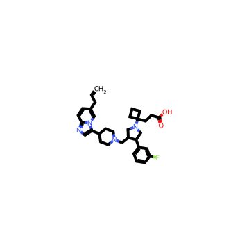 C=CCc1ccc2ncc(C3CCN(CC4CN(C5(CCC(=O)O)CCC5)CC4c4cccc(F)c4)CC3)n2c1